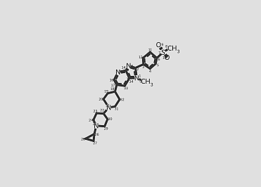 Cn1c(-c2ccc(S(C)(=O)=O)cc2)nc2ncc(C3CCN(C4CCN(C5CC5)CC4)CC3)cc21